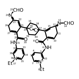 CC[n+]1cccc(NC(=O)C2=CCC(=NC=O)C=C2C23CCC(C4=CC(=NC=O)CC=C4C(=O)Nc4ccc[n+](CC)c4)(CC2)CC3)c1